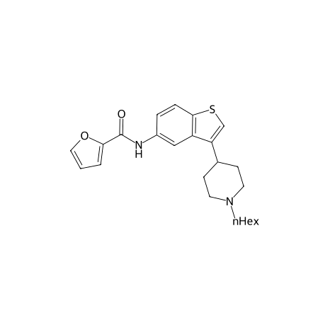 CCCCCCN1CCC(c2csc3ccc(NC(=O)c4ccco4)cc23)CC1